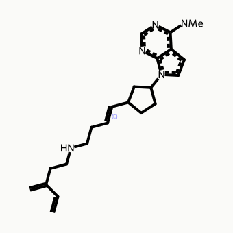 C=CC(=C)CCNCC/C=C/C1CCC(n2ccc3c(NC)ncnc32)C1